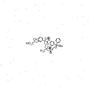 C[C@@H](Cc1cccc([C@@](C)(CCCC(C)(C)CS(=O)(=O)CCO[Si](c2ccccc2)(c2ccccc2)C(C)(C)C)C(=O)CBr)c1)C(=O)O